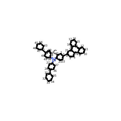 Cc1cc(-c2ccc3c4ccccc4c4ccccc4c3c2)ccc1N(c1ccc(-c2ccccc2)cc1)c1ccc(-c2ccccc2)cc1